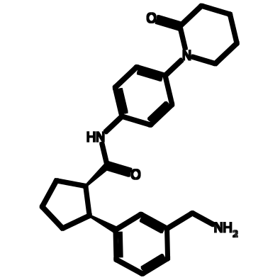 NCc1cccc([C@H]2CCC[C@H]2C(=O)Nc2ccc(N3CCCCC3=O)cc2)c1